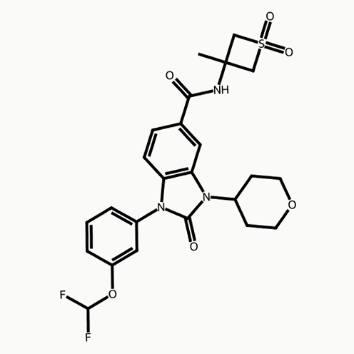 CC1(NC(=O)c2ccc3c(c2)n(C2CCOCC2)c(=O)n3-c2cccc(OC(F)F)c2)CS(=O)(=O)C1